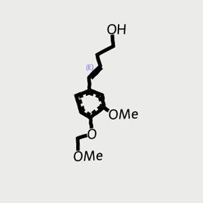 COCOc1ccc(/C=C/CCO)cc1OC